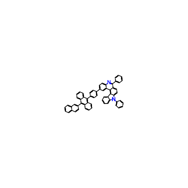 c1ccc(-c2nc3ccc(-c4ccc(-c5c6ccccc6c(-c6ccc7ccccc7c6)c6ccccc56)cc4)cc3c3c2ccc2c3c3ccccc3n2-c2ccccc2)cc1